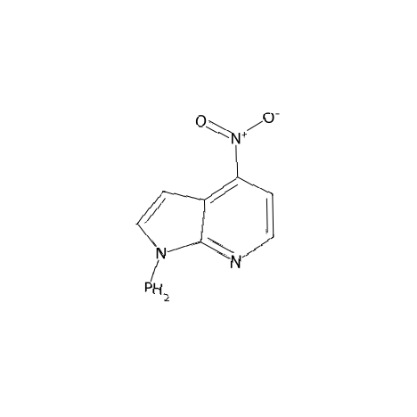 O=[N+]([O-])c1ccnc2c1ccn2P